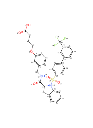 O=C(O)CCCOc1cccc(CNC(=O)[C@@H]2Cc3ccccc3N2S(=O)(=O)c2ccc(-c3cccc(C(F)(F)F)c3)cc2)c1